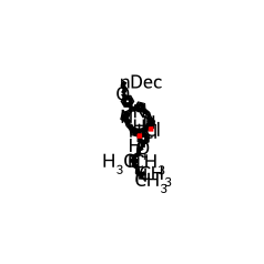 CCCCCCCCCCCCOc1ccc(C2=c3ccc([nH]3)=CC3=NC(Cl)(C=C3)C(Cl)(c3ccc(OCCC[N+](C)(C)CCCN(C)C)cc3)c3ccc([nH]3)C=C3C=CC2=N3)cc1